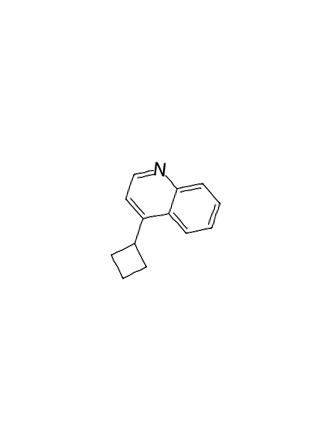 c1ccc2c(C3CCC3)ccnc2c1